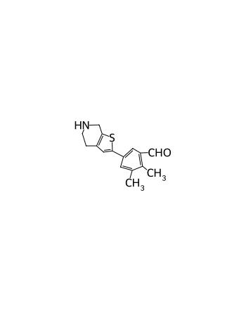 Cc1cc(-c2cc3c(s2)CNCC3)cc(C=O)c1C